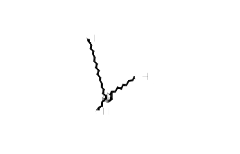 CCCCCCCCCCCCCCCCCCC1N(CCCC)C=CN1CCCCCCCCCC